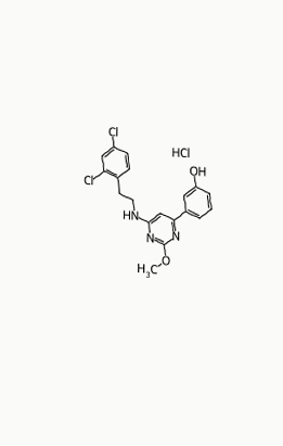 COc1nc(NCCc2ccc(Cl)cc2Cl)cc(-c2cccc(O)c2)n1.Cl